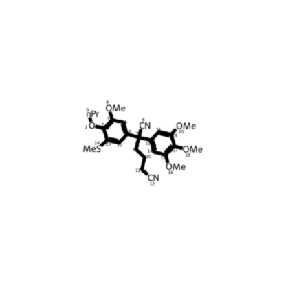 CCCOc1c(OC)cc(C(C#N)(CCCC#N)c2cc(OC)c(OC)c(OC)c2)cc1SC